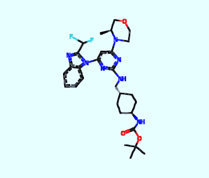 C[C@H]1COCCN1c1cc(-n2c(C(F)F)nc3ccccc32)nc(NC[C@H]2CC[C@H](NC(=O)OC(C)(C)C)CC2)n1